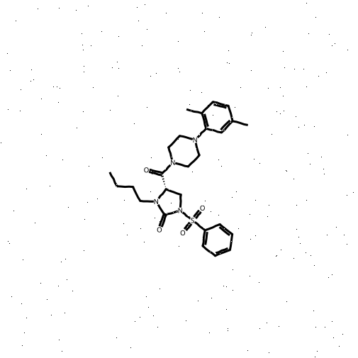 CCCCN1C(=O)N(S(=O)(=O)c2ccccc2)C[C@H]1C(=O)N1CCN(c2cc(C)ccc2C)CC1